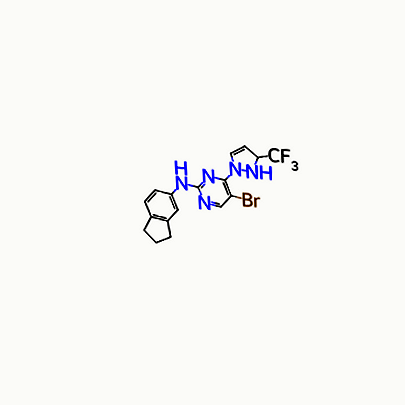 FC(F)(F)C1C=CN(c2nc(Nc3ccc4c(c3)CCC4)ncc2Br)N1